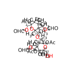 CCC1(C)C(COC=O)(OC(C)=O)OC(C)(COCC2(C)C(C)(OC(C)=O)OC(C)(CO)C(C)(OC(C)=O)C2(C)COC=O)C(C)(COC=O)C1(C)C